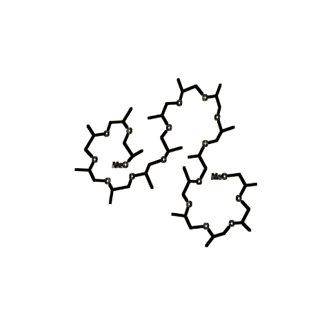 COCC(C)OCC(C)OCC(C)OCC(C)OCC(C)OCC(C)OCC(C)OCC(C)OCC(C)OCC(C)OCC(C)OCC(C)OCC(C)OCC(C)OCC(C)OCC(C)OCC(C)OC